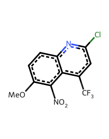 COc1ccc2nc(Cl)cc(C(F)(F)F)c2c1[N+](=O)[O-]